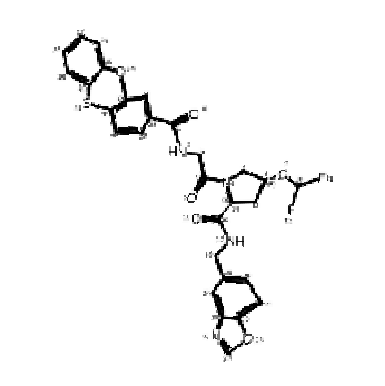 O=C(NCC(=O)N1C[C@H](OC(F)F)C[C@H]1C(=O)NCc1ccc2ocnc2c1)c1ccc2c(c1)Oc1ccccc1S2